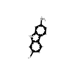 Nc1ccc2c(c1)oc1cc(I)ccc12